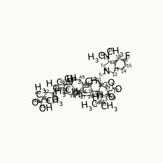 CC(=O)O[C@@H](CN(CCN(C)C)Cc1ccc(F)cc1)[C@@]12CC[C@]3(C)[C@H](CC[C@@H]4[C@@]5(C)CC[C@H](OC(=O)CC(C)(C)C(=O)O)C(C)(C)[C@@H]5CC[C@]43C)C1=C(C(C)C)C(=O)C2